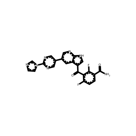 NC(=O)c1ccc(F)c(C(=O)c2c[nH]c3ncc(-c4cnc(-n5ccnc5)nc4)cc23)c1F